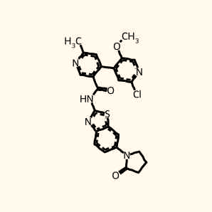 COc1cnc(Cl)cc1-c1cc(C)ncc1C(=O)Nc1nc2ccc(N3CCCC3=O)cc2s1